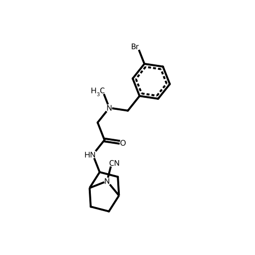 CN(CC(=O)NC1CC2CCC1N2C#N)Cc1cccc(Br)c1